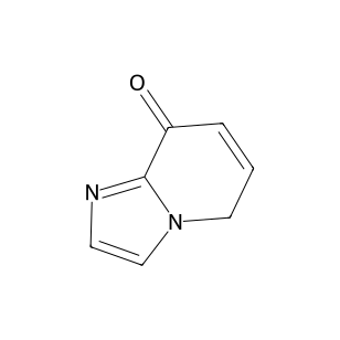 O=C1C=CCn2ccnc21